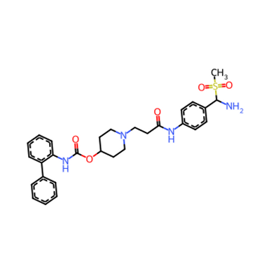 CS(=O)(=O)C(N)c1ccc(NC(=O)CCN2CCC(OC(=O)Nc3ccccc3-c3ccccc3)CC2)cc1